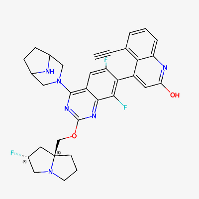 C#Cc1cccc2nc(O)cc(-c3c(F)cc4c(N5CC6CCC(C5)N6)nc(OC[C@@]56CCCN5C[C@H](F)C6)nc4c3F)c12